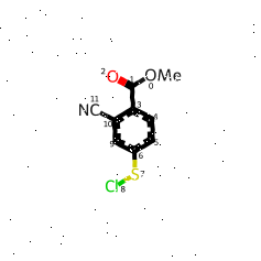 COC(=O)c1ccc(SCl)cc1C#N